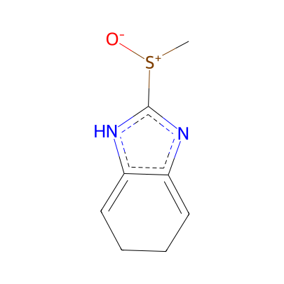 C[S+]([O-])c1nc2c([nH]1)=CCCC=2